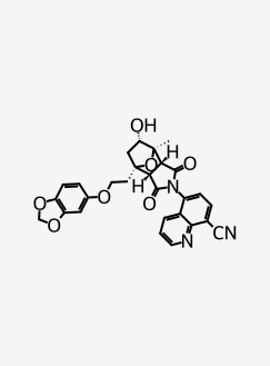 C[C@]12O[C@](CCOc3ccc4c(c3)OCO4)(C[C@@H]1O)[C@H]1C(=O)N(c3ccc(C#N)c4ncccc34)C(=O)[C@H]12